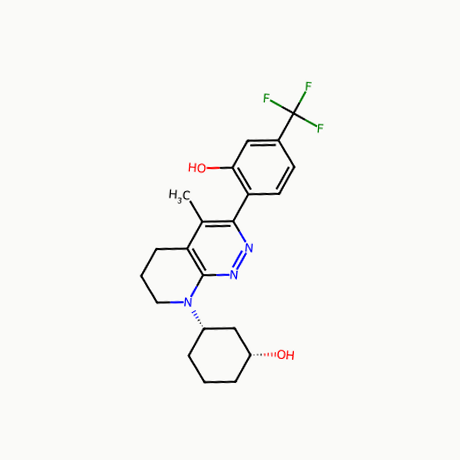 Cc1c(-c2ccc(C(F)(F)F)cc2O)nnc2c1CCCN2[C@H]1CCC[C@@H](O)C1